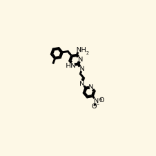 Cc1cccc(Cc2c[nH]c(=NCC=Nc3ccc([N+](=O)[O-])cn3)nc2N)c1